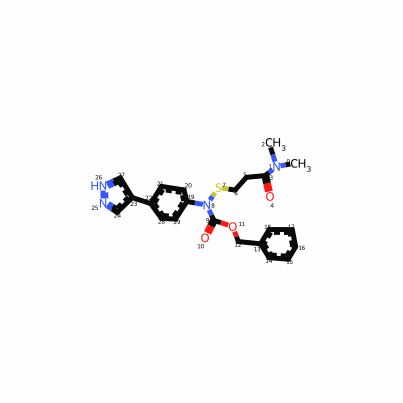 CN(C)C(=O)CCSN(C(=O)OCc1ccccc1)c1ccc(-c2cn[nH]c2)cc1